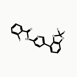 O=C(Nc1ccc(-c2cccc3c2OC(F)(F)O3)cn1)c1ccccc1F